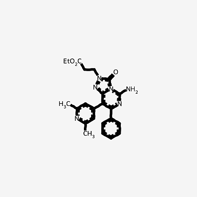 CCOC(=O)CCn1nc2c(-c3cc(C)nc(C)c3)c(-c3ccccc3)nc(N)n2c1=O